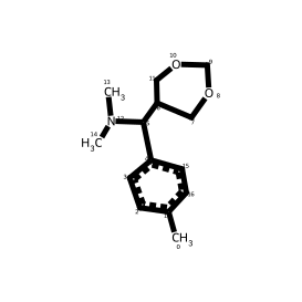 Cc1ccc(C(C2COCOC2)N(C)C)cc1